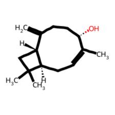 C=C1CC[C@H](O)C(C)=CC[C@@H]2[C@@H]1CC2(C)C